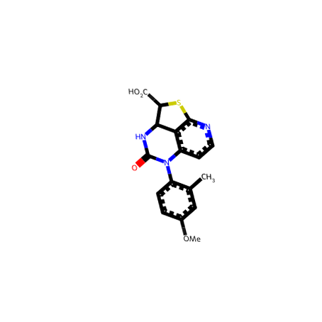 COc1ccc(N2C(=O)NC3c4c2ccnc4SC3C(=O)O)c(C)c1